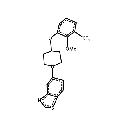 COc1c(OC2CCN(c3ccc4scnc4c3)CC2)cccc1C(F)(F)F